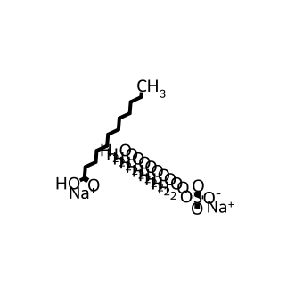 CCCCCCCCCCCC(=O)O.O.O.O.O.O.O.O.O.O.O.O=S(=O)([O-])[O-].[Na+].[Na+]